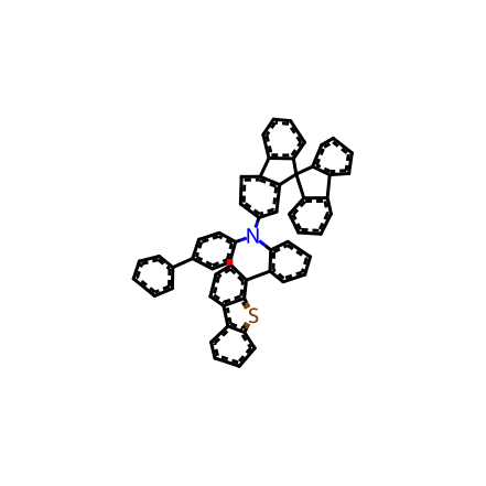 c1ccc(-c2ccc(N(c3ccc4c(c3)C3(c5ccccc5-c5ccccc53)c3ccccc3-4)c3ccccc3-c3cccc4c3sc3ccccc34)cc2)cc1